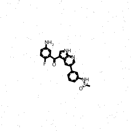 C[S+]([O-])Nc1cccc(-c2cnc3[nH]cc(C(=O)c4cc(N)ccc4F)c3c2)c1